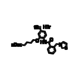 Br.CCCCCCCCCCCCCCOc1cc(C(C)(C)C)ccc1NC(=O)c1ccccc1CN1C=CSC1